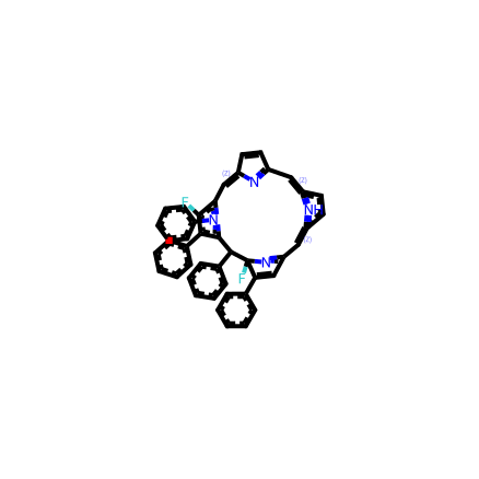 Fc1c(-c2ccccc2)c2n(-c3ccccc3)c1/C=C1/C=CC(=N1)/C=c1/cc/c([nH]1)=C/C1=NC(F)(C(c3ccccc3)=C1)C2c1ccccc1